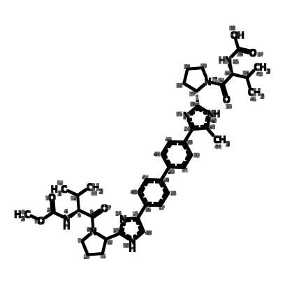 COC(=O)N[C@H](C(=O)N1CCCC1c1nc(-c2ccc(-c3ccc(-c4nc([C@@H]5CCCN5C(=O)[C@@H](NC(=O)O)C(C)C)[nH]c4C)cc3)cc2)c[nH]1)C(C)C